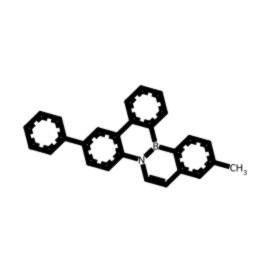 Cc1ccc2c(c1)C=CN1B2c2ccccc2-c2cc(-c3ccccc3)ccc21